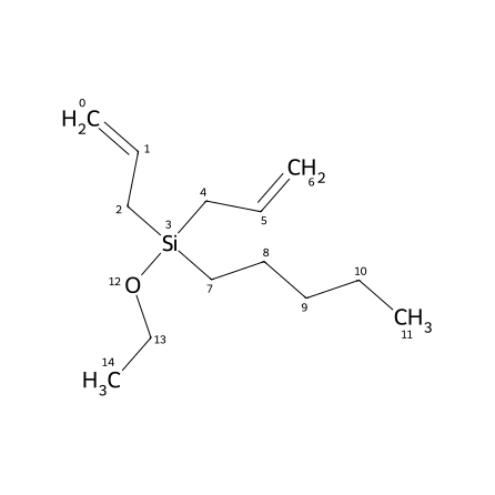 C=CC[Si](CC=C)(CCCCC)OCC